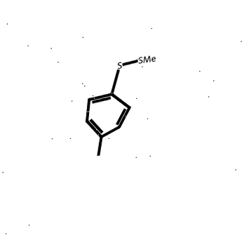 CSSc1ccc(C)cc1